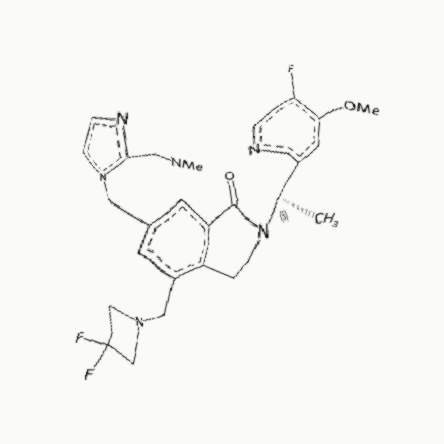 CNc1nccn1Cc1cc(CN2CC(F)(F)C2)c2c(c1)C(=O)N([C@@H](C)c1cc(OC)c(F)cn1)CC2